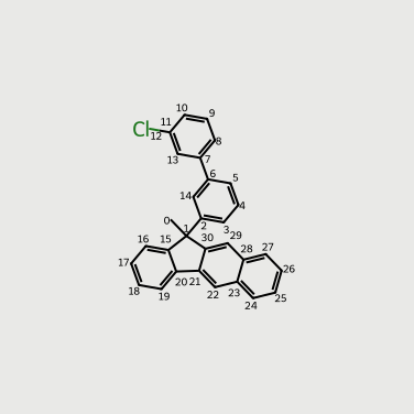 CC1(c2cccc(-c3cccc(Cl)c3)c2)c2ccccc2-c2cc3ccccc3cc21